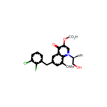 CCC[C@@H](CO)n1cc(OC(=O)O)c(=O)c2cc(Cc3cccc(Cl)c3F)cc(OC)c21